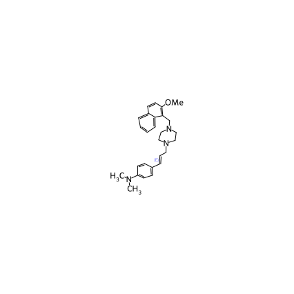 COc1ccc2ccccc2c1CN1CCN(C/C=C/c2ccc(N(C)C)cc2)CC1